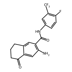 Nc1cc2c(cc1C(=O)Nc1ccc(F)c(C(F)(F)F)c1)CCCC2=O